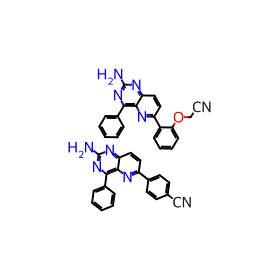 N#CCOc1ccccc1-c1ccc2nc(N)nc(-c3ccccc3)c2n1.N#Cc1ccc(-c2ccc3nc(N)nc(-c4ccccc4)c3n2)cc1